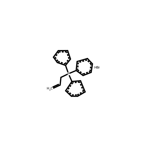 Br.C=CC[P](c1ccccc1)(c1ccccc1)c1ccccc1